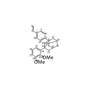 C=Cc1ccc(C23CC4CC(C2)CC(c2cccc(OC)c2OC)(C4)C3)cc1